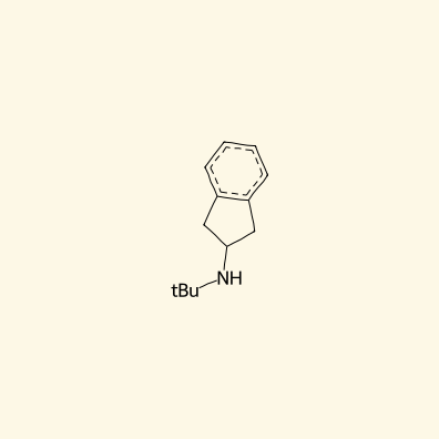 CC(C)(C)NC1Cc2ccccc2C1